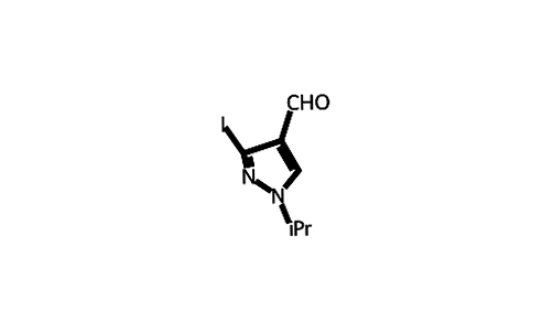 CC(C)n1cc(C=O)c(I)n1